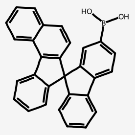 OB(O)c1ccc2c(c1)C1(c3ccccc3-2)c2ccccc2-c2c1ccc1ccccc21